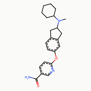 CN(C1CCCCC1)C1Cc2ccc(Oc3ccc(C(N)=O)cn3)cc2C1